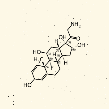 C[C@]12C=CC(O)C=C1CC[C@H]1[C@@H]3C[C@@H](O)[C@](O)(C(=O)CN)[C@H]3C[C@H](O)[C@@]12F